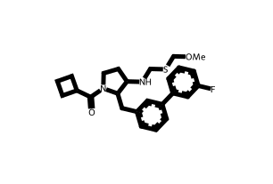 COCSCNC1CCN(C(=O)C2CCC2)C1Cc1cccc(-c2cccc(F)c2)c1